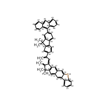 C=C(/C=C1\C(=C)C(C)(C)c2cc3cc4c(cc3cc21)sc1ccccc14)c1ccc2c(c1)C(C)(C)c1cc(-c3c4ccccc4cc4ccccc34)ccc1-2